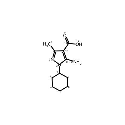 Cc1nn(C2CCCCC2)c(N)c1C(=O)O